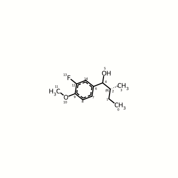 CC[C@@H](C)C(O)c1ccc(OC)c(F)c1